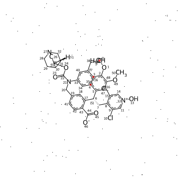 COc1ccc([C@H](Cc2c(Cl)c[n+](O)cc2Cl)c2cc(CN(C(=O)O[C@H]3CN4CCC3CC4)c3cccc(CO)c3)ccc2C(=O)[O-])cc1OC